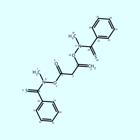 C=C(CC(=O)ON(C)C(=S)c1ccccc1)ON(C)C(=S)c1ccccc1